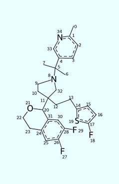 Cc1ccc(C(C)(C)N2CCC(CCc3ccc(F)s3)(C3OCCc4cc(F)c(F)cc43)C2)cn1